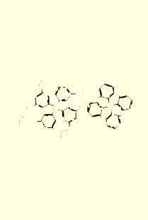 FC(F)(F)c1cc([B-](c2cc(C(F)(F)F)cc(C(F)(F)F)c2)(c2cc(C(F)(F)F)cc(C(F)(F)F)c2)c2cc(C(F)(F)F)cc(C(F)(F)F)c2)cc(C(F)(F)F)c1.Fc1ccccc1[B-](c1ccccc1F)(c1ccccc1F)c1ccccc1F